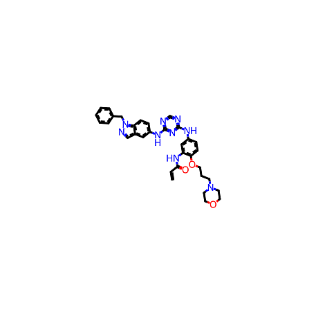 C=CC(=O)Nc1cc(Nc2ncnc(Nc3ccc4c(cnn4Cc4ccccc4)c3)n2)ccc1OCCCN1CCOCC1